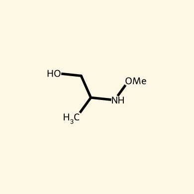 CONC(C)CO